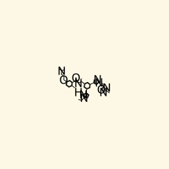 CCn1ccc(-c2cc(-c3cnn(Cc4nc(C)no4)c3)cc([C@@H](C)NC(=O)c3cc(OCCN(C)C)ccc3C)c2)n1